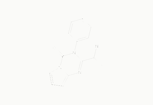 CC(N)c1nc2cccn2c(=O)n1-c1ccccc1